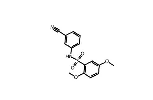 COc1ccc(OC)c(S(=O)(=O)Nc2cccc(C#N)c2)c1